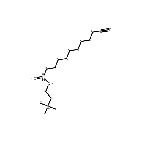 C#CCCCCCCCCC[PH](=O)OCC[N+](C)(C)C